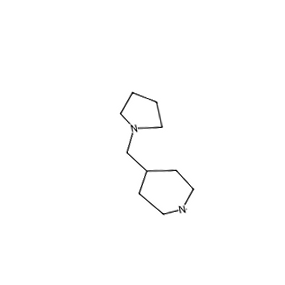 C1CCN(CC2CC[N]CC2)C1